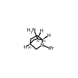 CC(C)N1C[C@@H]2CC[C@H]1[C@@H](N)C2